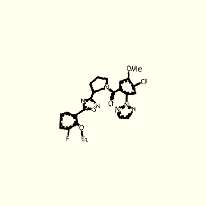 CCOc1c(F)cccc1-c1nc(C2CCCN2C(=O)c2cc(OC)c(Cl)cc2-n2nccn2)no1